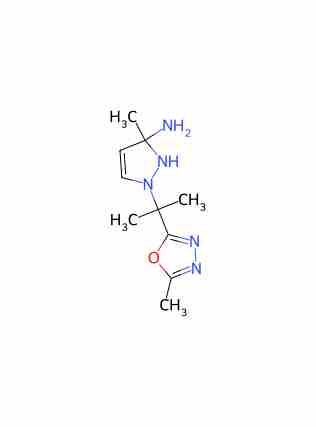 Cc1nnc(C(C)(C)N2C=CC(C)(N)N2)o1